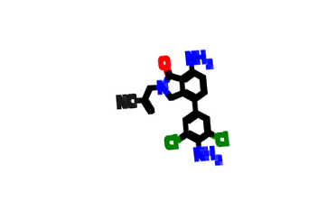 C=C(C#N)CN1Cc2c(-c3cc(Cl)c(N)c(Cl)c3)ccc(N)c2C1=O